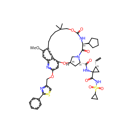 C=C[C@@H]1CC1(NC(=O)[C@@H]1C[C@@H]2CN1C(=O)[C@H](C1CCCC1)NC(=O)OCC(C)(C)CCCc1cc3c(cc(OCc4csc(-c5ccccc5)n4)nc3cc1OC)O2)C(=O)NS(=O)(=O)C1CC1